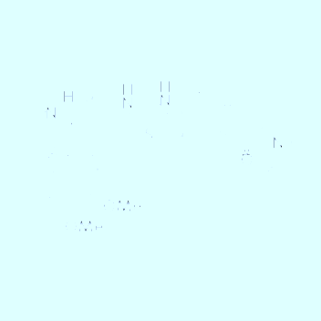 COc1ccc([C@@]23CC[C@@H](NC(=S)Nc4ccc(-c5cnco5)cc4)C[C@@H]2N(C)CC3)cc1OC